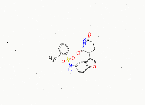 Cc1ccccc1S(=O)(=O)Nc1ccc2occ(C3CCC(=O)NC3=O)c2c1